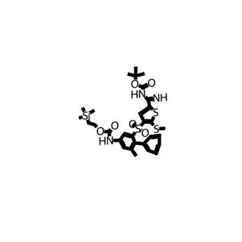 CSc1sc(C(=N)NC(=O)OC(C)(C)C)cc1S(=O)(=O)c1cc(NC(=O)OCC[Si](C)(C)C)cc(C)c1-c1ccccc1